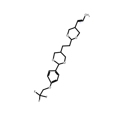 C/C=C/C1COC(CCC2COC(c3ccc(OCC(F)(F)F)cc3)OC2)OC1